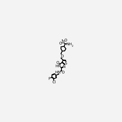 CS(=O)(=O)C(N)C1CCC(COCc2csc3nc(C(=O)NCc4ccc(F)c(Cl)c4)[nH]c(=O)c23)CC1